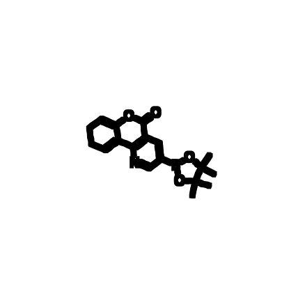 CC1(C)OB(c2cnc3c4c(oc(=O)c3c2)=CCCC=4)OC1(C)C